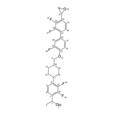 CC(O)c1ccc(C2CCC(COc3ccc(-c4ccc(C5CO5)c(F)c4F)cc3F)CC2)c(F)c1F